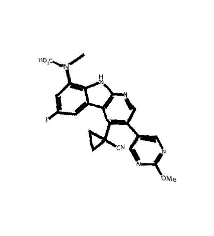 COc1ncc(-c2cnc3[nH]c4c(N(C)C(=O)O)cc(F)cc4c3c2C2(C#N)CC2)cn1